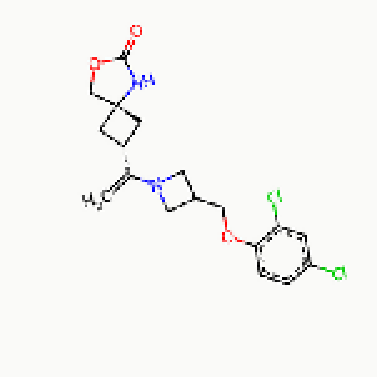 C=C([C@H]1C[C@]2(COC(=O)N2)C1)N1CC(COc2ccc(Cl)cc2Cl)C1